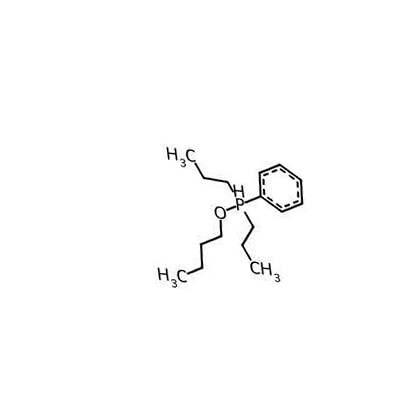 CCCCO[PH](CCC)(CCC)c1ccccc1